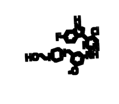 COc1cc(CN2CCN(CCO)CC2)cc(Nc2ncc(Cl)c(-c3c[nH]c4cc(F)ccc34)n2)c1